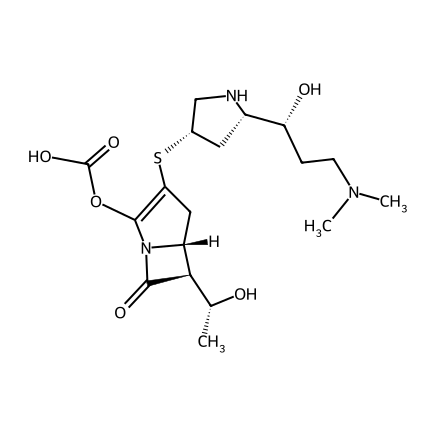 C[C@@H](O)[C@H]1C(=O)N2C(OC(=O)O)=C(S[C@@H]3CN[C@H]([C@H](O)CCN(C)C)C3)C[C@H]12